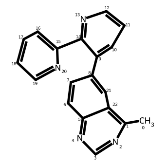 Cc1ncnc2ccc(-c3cccnc3-c3ccccn3)cc12